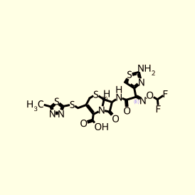 Cc1nnc(SCC2=C(C(=O)O)N3C(=O)C(NC(=O)/C(=N/OC(F)F)c4csc(N)n4)[C@H]3SC2)s1